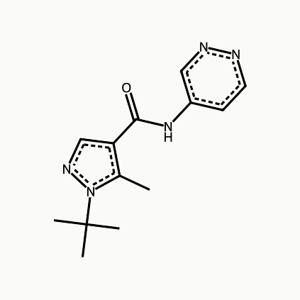 Cc1c(C(=O)Nc2ccnnc2)cnn1C(C)(C)C